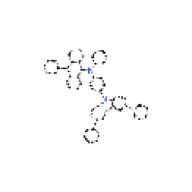 c1ccc(-c2ccc3c(c2)c2cc(-c4ccccc4)ccc2n3-c2ccc(N(c3ccccc3)c3c4ccccc4c(-c4ccccc4)c4ccccc34)cc2)cc1